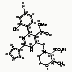 CCOC(=O)[C@@H]1[C@@H](C)OCCN1CC1=C(C(=O)OC)[C@H](c2ccc(F)cc2Cl)N=C(c2nccs2)N1